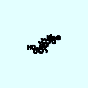 CCCCc1nc(C)n(CCOC)c(=O)c1Cc1cc(CCC)c(Oc2ccccc2CC(=O)O)c(CCC)c1